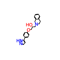 OC(COc1ccc(-c2ccn[nH]2)cc1)CN1CCc2ccccc2C1